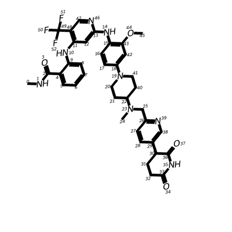 CNC(=O)c1ccccc1Nc1cc(Nc2ccc(N3CCC(N(C)Cc4ccc(C5CCC(=O)NC5=O)cn4)CC3)cc2OC)ncc1C(F)(F)F